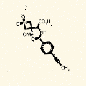 CC#Cc1ccc(C(=O)NC(C(=O)O)C2(OC)CS(=O)(=O)C2)cc1